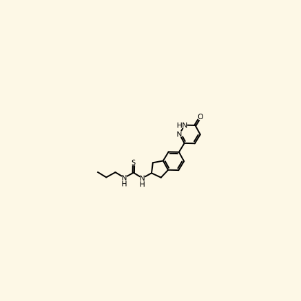 CCCNC(=S)NC1Cc2ccc(-c3ccc(=O)[nH]n3)cc2C1